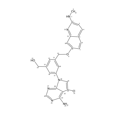 CNc1ccc2ccc(OCc3cc(CO)cc(-n4cc(Cl)c5c(N)ncnc54)c3)cc2n1